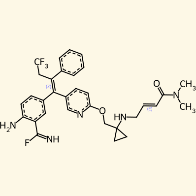 CN(C)C(=O)/C=C/CNC1(COc2ccc(/C(=C(/CC(F)(F)F)c3ccccc3)c3ccc(N)c(C(=N)F)c3)cn2)CC1